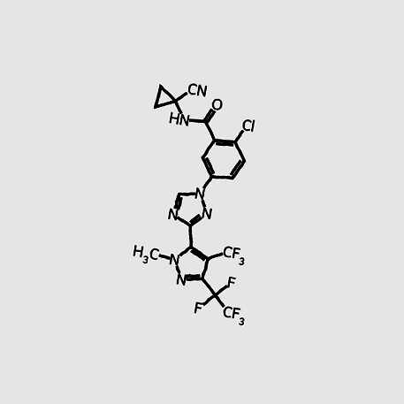 Cn1nc(C(F)(F)C(F)(F)F)c(C(F)(F)F)c1-c1ncn(-c2ccc(Cl)c(C(=O)NC3(C#N)CC3)c2)n1